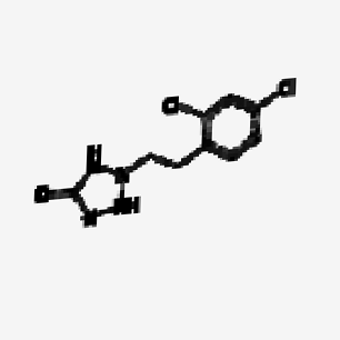 O=C1[N]NN(CCc2ccc(Cl)cc2Cl)N1